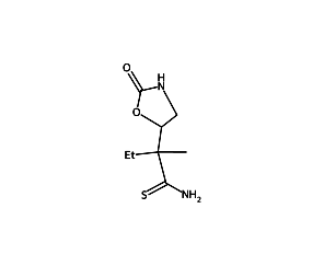 CCC(C)(C(N)=S)C1CNC(=O)O1